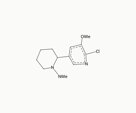 CNN1CCCCC1c1cnc(Cl)c(OC)c1